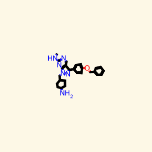 CNc1ncc2c(-c3ccc(OCc4ccccc4)cc3)nn(CC3CCC(N)CC3)c2n1